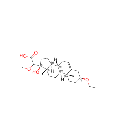 CCO[C@H]1CC[C@@]2(C)C(=CC[C@@H]3[C@@H]2CC[C@@]2(C)[C@H]3CC[C@@]2(O)C(OC)C(=O)O)C1